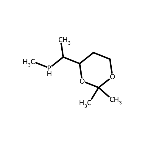 CPC(C)C1CCOC(C)(C)O1